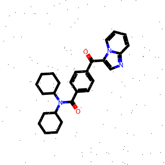 O=C(c1ccc(C(=O)N(C2CCCCC2)C2CCCCC2)cc1)c1cnc2ccccn12